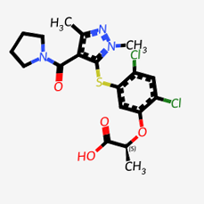 Cc1nn(C)c(Sc2cc(O[C@@H](C)C(=O)O)c(Cl)cc2Cl)c1C(=O)N1CCCC1